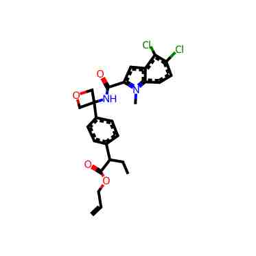 C=CCOC(=O)C(CC)c1ccc(C2(NC(=O)c3cc4c(Cl)c(Cl)ccc4n3C)COC2)cc1